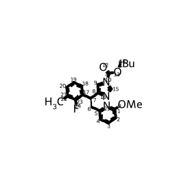 COc1cccc(C[C@H](c2cn(C(=O)OC(C)(C)C)cn2)c2cccc(C)c2F)n1